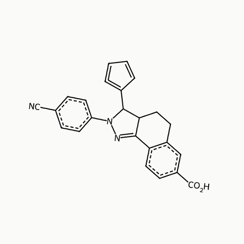 N#Cc1ccc(N2N=C3c4ccc(C(=O)O)cc4CCC3C2C2=C=CC=C2)cc1